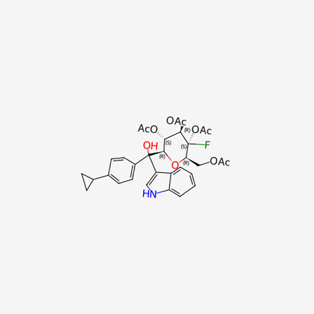 CC(=O)OC[C@H]1O[C@@H](C(O)(c2ccc(C3CC3)cc2)c2c[nH]c3ccccc23)[C@H](OC(C)=O)[C@@H](OC(C)=O)[C@]1(F)OC(C)=O